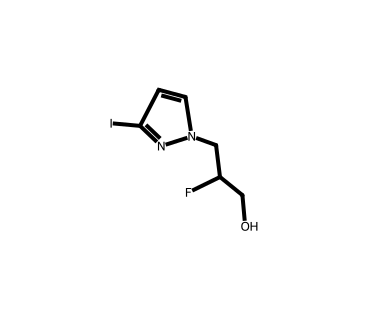 OCC(F)Cn1ccc(I)n1